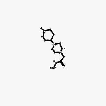 CN1CCC(N2CCN(CC(=O)OC(C)(C)C)CC2)CC1